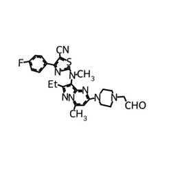 CCc1nn2c(C)cc(N3CCN(CC=O)CC3)nc2c1N(C)c1nc(-c2ccc(F)cc2)c(C#N)s1